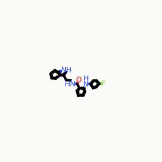 O=C(NCCc1c[nH]c2ccccc12)c1ccccc1Nc1ccc(F)cc1